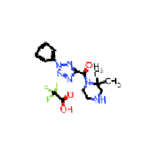 CC1(C)CNCCN1C(=O)c1nnn(-c2ccccc2)n1.O=C(O)C(F)(F)F